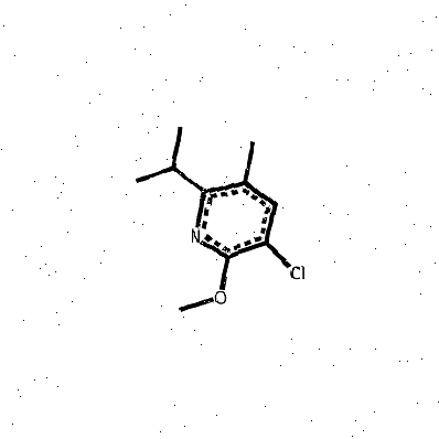 COc1nc(C(C)C)c(C)cc1Cl